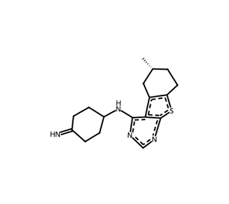 C[C@@H]1CCc2sc3ncnc(NC4CCC(=N)CC4)c3c2C1